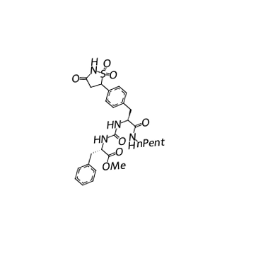 CCCCCNC(=O)[C@H](Cc1ccc(C2CC(=O)NS2(=O)=O)cc1)NC(=O)N[C@@H](Cc1ccccc1)C(=O)OC